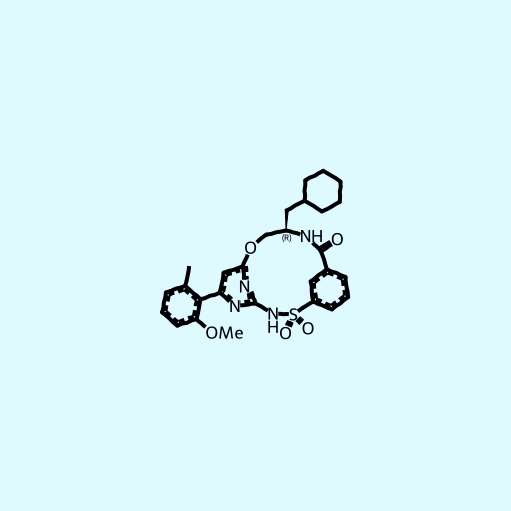 COc1cccc(C)c1-c1cc2nc(n1)NS(=O)(=O)c1cccc(c1)C(=O)N[C@H](CC1CCCCC1)CO2